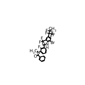 CN(C(=O)c1ccccc1)c1cccc(C(=O)Nc2c(Br)cc(C(F)(C(C)(F)F)C(F)(F)F)cc2C(F)(F)F)c1F